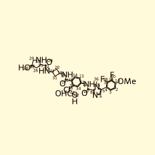 COc1ccc(-c2cnc(C(=O)Nc3ccc(C(=O)NC4CC(NC(=O)C5C[C@@H](O)CN5)C4)c(Cl)c3)n2C)c(F)c1F.O=CO